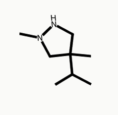 CC(C)C1(C)CNN(C)C1